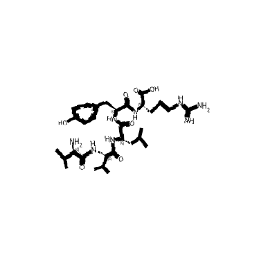 CC(C)C[C@H](NC(=O)[C@@H](NC(=O)[C@@H](N)C(C)C)C(C)C)C(=O)N[C@@H](Cc1ccc(O)cc1)C(=O)N[C@@H](CCCNC(=N)N)C(=O)O